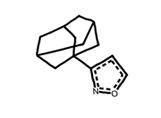 c1cc(C23CC4CC(CC(C4)C2)C3)no1